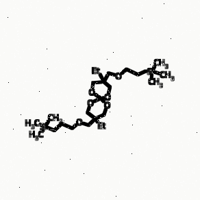 CCC1(COCCC[Si](C)(C)C)COC2(OC1)OCC(CC)(COCCC[Si](C)(C)C)CO2